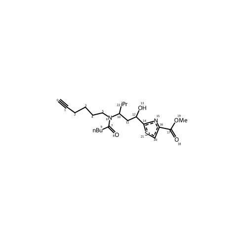 C#CCCCCN(C(=O)CCCC)C(CC(O)c1nc(C(=O)OC)cs1)C(C)C